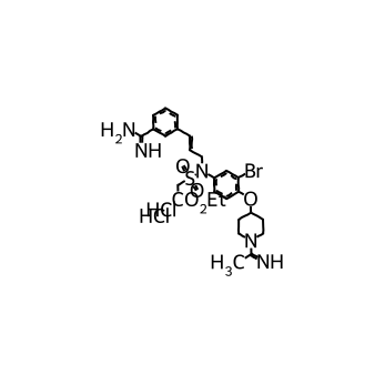 CCOC(=O)CS(=O)(=O)N(C/C=C/c1cccc(C(=N)N)c1)c1ccc(OC2CCN(C(C)=N)CC2)c(Br)c1.Cl.Cl